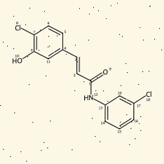 O=C(C=Cc1ccc(Cl)c(O)c1)Nc1cccc(Cl)c1